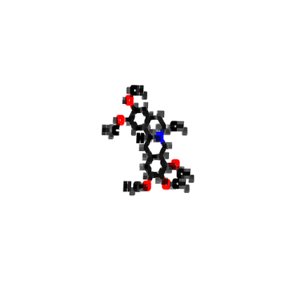 COc1cc2c(cc1OC)[C@@H]1Cc3cc(OC)c(OC)c(OC)c3CN1[C@@H](C)C2